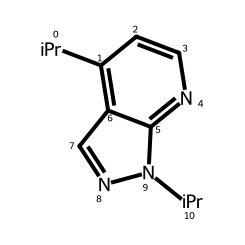 CC(C)c1ccnc2c1cnn2C(C)C